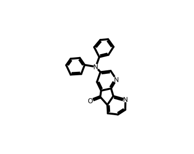 O=C1c2cccnc2-c2ncc(N(c3ccccc3)c3ccccc3)cc21